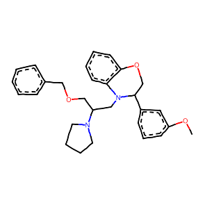 COc1cccc(C2COc3ccccc3N2CC(COCc2ccccc2)N2CCCC2)c1